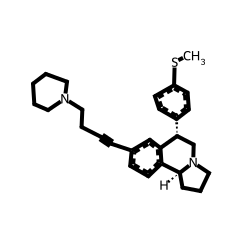 CSc1ccc([C@@H]2CN3CCC[C@H]3c3ccc(C#CCCN4CCCCC4)cc32)cc1